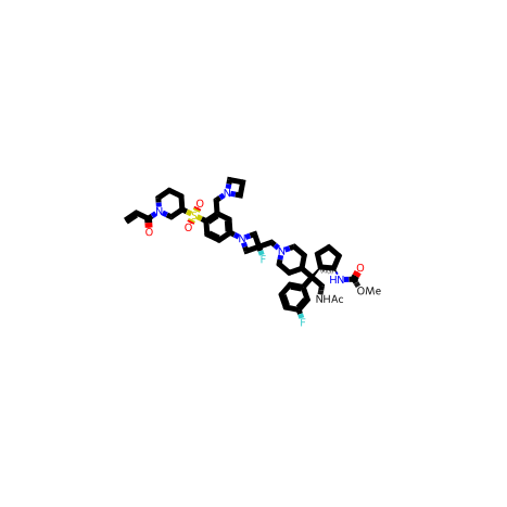 C=CC(=O)N1CCCC(S(=O)(=O)c2ccc(N3CC(F)(CN4CCC(C(CNC(C)=O)(c5cccc(F)c5)[C@H]5CCC[C@@H]5NC(=O)OC)CC4)C3)cc2CN2CCC2)C1